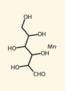 O=CC(O)C(O)C(O)C(O)CO.[Mn]